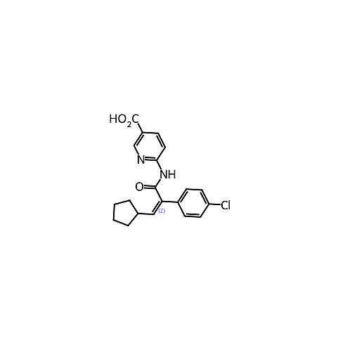 O=C(Nc1ccc(C(=O)O)cn1)/C(=C\C1CCCC1)c1ccc(Cl)cc1